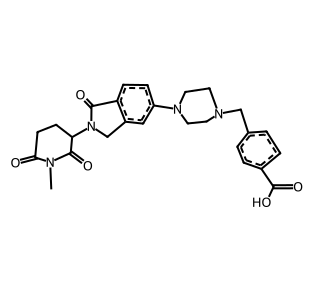 CN1C(=O)CCC(N2Cc3cc(N4CCN(Cc5ccc(C(=O)O)cc5)CC4)ccc3C2=O)C1=O